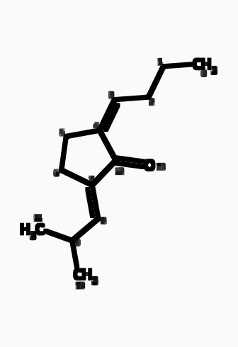 CCCC=C1CCC(=CC(C)C)C1=O